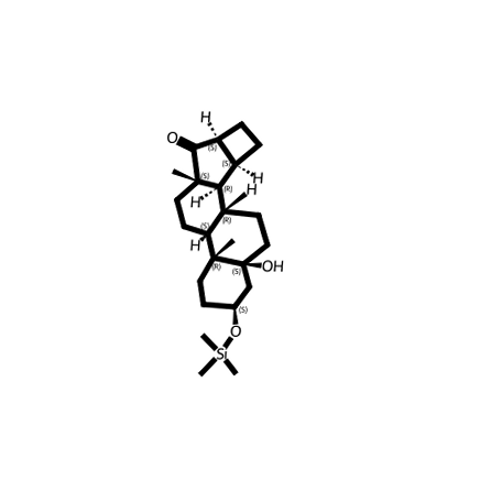 C[C@]12CC[C@H]3[C@@H](CC[C@]4(O)C[C@@H](O[Si](C)(C)C)CC[C@]34C)[C@@H]1[C@@H]1CC[C@@H]1C2=O